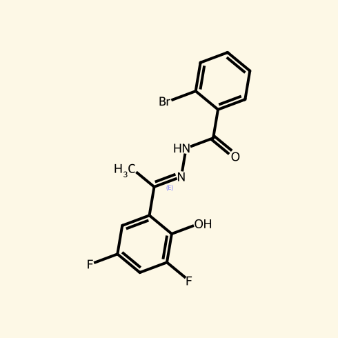 C/C(=N\NC(=O)c1ccccc1Br)c1cc(F)cc(F)c1O